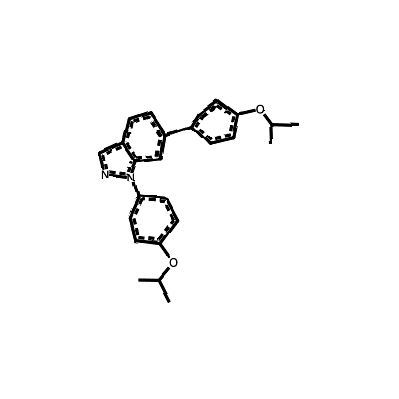 CC(C)Oc1ccc(-c2ccc3cnn(-c4ccc(OC(C)C)cc4)c3c2)cc1